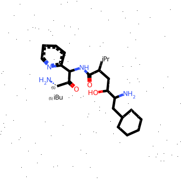 CC[C@H](C)[C@H](N)C(=O)C(NC(=O)C(CC(O)C(N)CC1CCCCC1)C(C)C)c1ccccn1